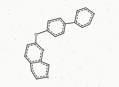 c1ccc(-c2ccc(Oc3ccc4ccncc4n3)cc2)cc1